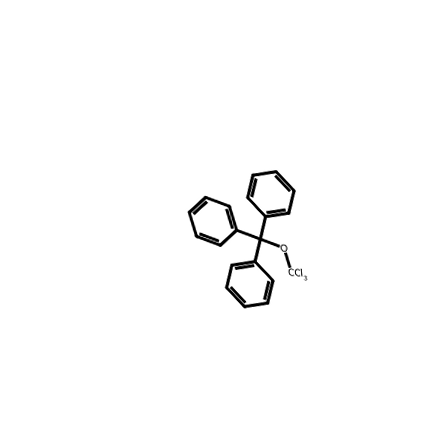 ClC(Cl)(Cl)OC(c1ccccc1)(c1ccccc1)c1ccccc1